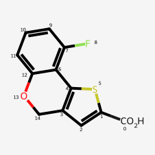 O=C(O)c1cc2c(s1)-c1c(F)cccc1OC2